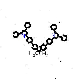 CC1(C)c2ccc(-c3ccc(-c4cc(-c5ccccc5)cc(-c5ccccc5)n4)cc3)cc2-c2cc(-c3ccc(-c4cc(-c5ccccc5)cc(-c5ccccc5)n4)cc3)ccc21